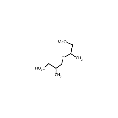 COCC(C)OCC(C)CC(=O)O